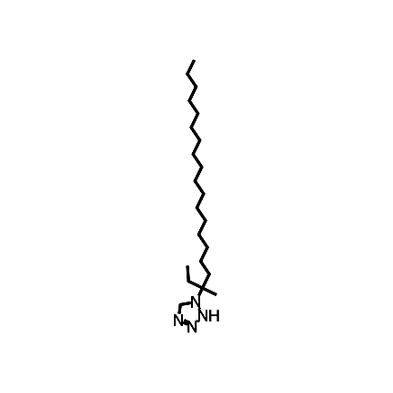 CCCCCCCCCCCCCCCCCC(C)(CC)N1CN=NN1